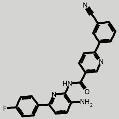 N#Cc1cccc(-c2ccc(C(=O)Nc3nc(-c4ccc(F)cc4)ccc3N)cn2)c1